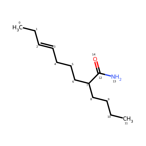 CCC=CCCCC(CCCC)C(N)=O